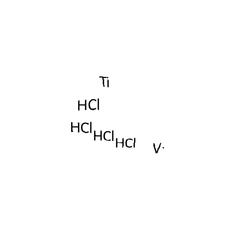 Cl.Cl.Cl.Cl.[Ti].[V]